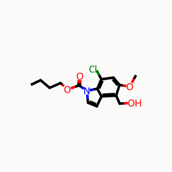 CCCCOC(=O)n1ccc2c(CO)c(OC)cc(Cl)c21